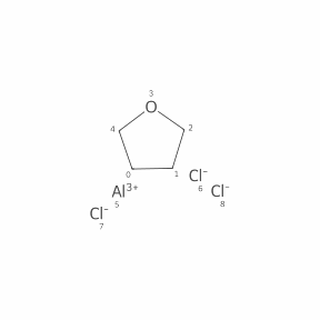 C1CCOC1.[Al+3].[Cl-].[Cl-].[Cl-]